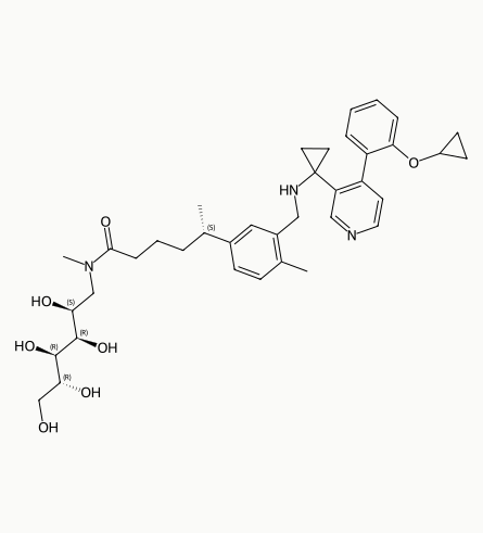 Cc1ccc([C@@H](C)CCCC(=O)N(C)C[C@H](O)[C@@H](O)[C@H](O)[C@H](O)CO)cc1CNC1(c2cnccc2-c2ccccc2OC2CC2)CC1